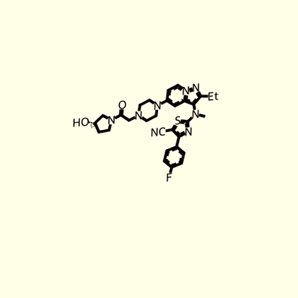 CCc1nn2ccc(N3CCN(CC(=O)N4CC[C@H](O)C4)CC3)cc2c1N(C)c1nc(-c2ccc(F)cc2)c(C#N)s1